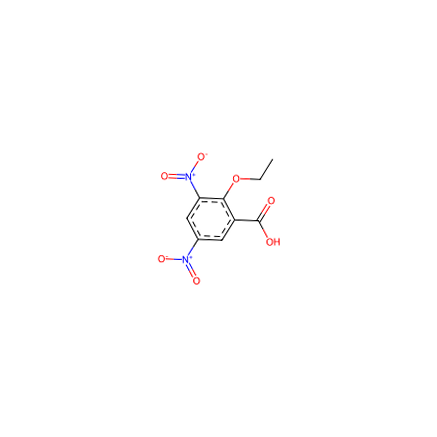 CCOc1c(C(=O)O)cc([N+](=O)[O-])cc1[N+](=O)[O-]